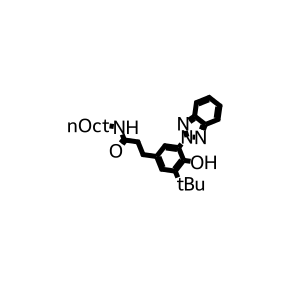 CCCCCCCCNC(=O)CCc1cc(-n2nc3ccccc3n2)c(O)c(C(C)(C)C)c1